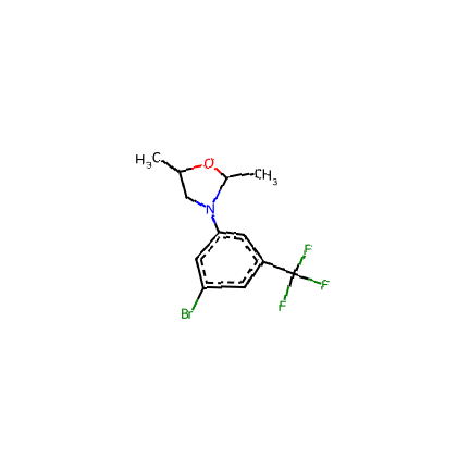 CC1CN(c2cc(Br)cc(C(F)(F)F)c2)C(C)O1